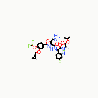 CC(C)OC(=O)[C@H](C)NC(=O)C(NC(=O)c1nc(-c2ccc(OC(F)F)c(OCC3CC3)c2)oc1[C@H](C)N)c1ccc(F)cc1F